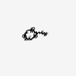 CC(/C=C/C(C)=C/C1Cc2nc(co2)CCCCC(=O)OC(C)C/C(C)=C/C=C\C(=O)O1)=C\CN(C)C